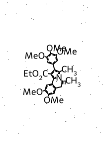 CCOC(=O)c1c(-c2cc(OC)c(OC)c(OC)c2)c(C)n2c1-c1cc(OC)c(OC)cc1C[C@@H]2C